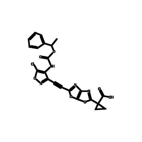 CC(OC(=O)Nc1c(C#Cc2nc3nc(C4(C(=O)O)CC4)oc3o2)noc1Cl)c1ccccc1